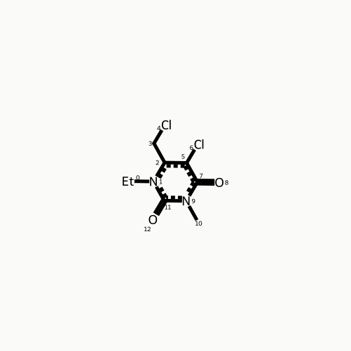 CCn1c(CCl)c(Cl)c(=O)n(C)c1=O